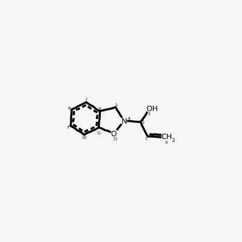 C=CC(O)N1Cc2ccccc2O1